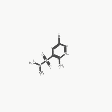 CN(C(F)(F)F)S(=O)(=O)c1cc(Br)cnc1N